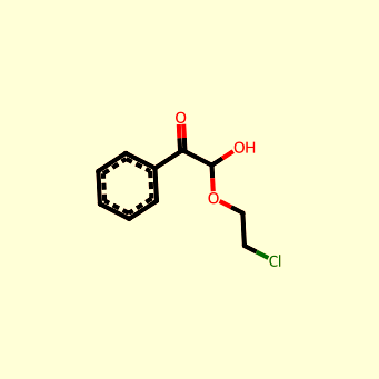 O=C(c1ccccc1)C(O)OCCCl